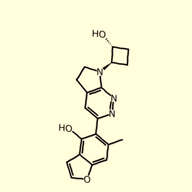 Cc1cc2occc2c(O)c1-c1cc2c(nn1)N([C@@H]1CC[C@H]1O)CC2